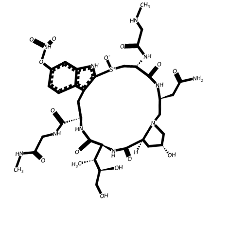 CNCC(=O)N[C@H]1C[S+]([O-])c2[nH]c3cc(O[SH](=O)=O)ccc3c2C[C@@H](C(=O)NCC(=O)NC)NC(=O)[C@H]([C@@H](C)[C@@H](O)CO)NC(=O)[C@@H]2C[C@@H](O)CN2C[C@H](CC(N)=O)NC1=O